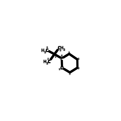 CC(C)(C)P1CCCCO1